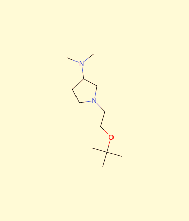 CN(C)C1CCN(CCOC(C)(C)C)C1